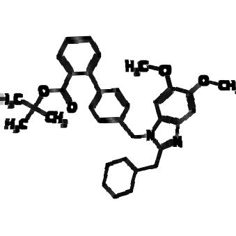 COc1cc2nc(CC3CCCCC3)n(Cc3ccc(-c4ccccc4C(=O)OC(C)(C)C)cc3)c2cc1OC